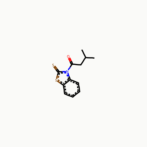 CC(C)CC(=O)n1c(=S)sc2ccccc21